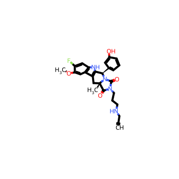 C#CCNCCCN1C(=O)N2[C@H](c3cccc(O)c3)c3[nH]c4cc(F)c(OC)cc4c3C[C@@]2(C)C1=O